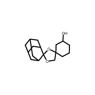 OC1CCCC2(COC3(O2)C2CC4CC(C2)CC3C4)C1